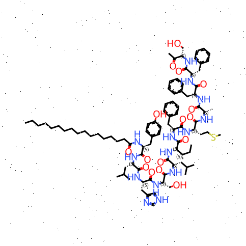 CCCCCCCCCCCCCCCCC(=O)N[C@@H](Cc1ccc(O)cc1)C(=O)N[C@@H](CC(C)C)C(=O)N[C@@H](Cc1c[nH]cn1)C(=O)N[C@@H](CO)C(=O)N[C@@H](CC(C)C)C(=O)N[C@H](C(=O)N[C@@H](Cc1ccccc1)C(=O)N[C@@H](CCSC)C(=O)N[C@@H](C)C(=O)N[C@@H](Cc1ccccc1)C(=O)N[C@@H](Cc1ccccc1)C(=O)N[C@@H](CO)C(C)=O)[C@@H](C)CC